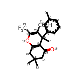 Cc1cccc(C2(C)C3=C(CC(C)(C)CC3=O)OC(C(F)(F)F)=C2C(=O)O)c1